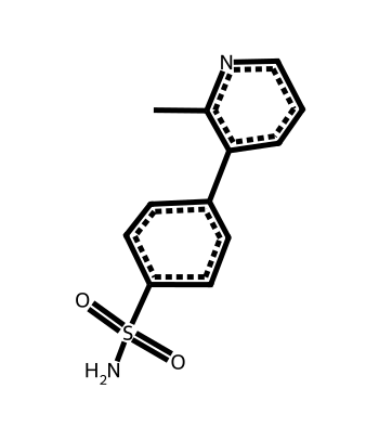 Cc1ncccc1-c1ccc(S(N)(=O)=O)cc1